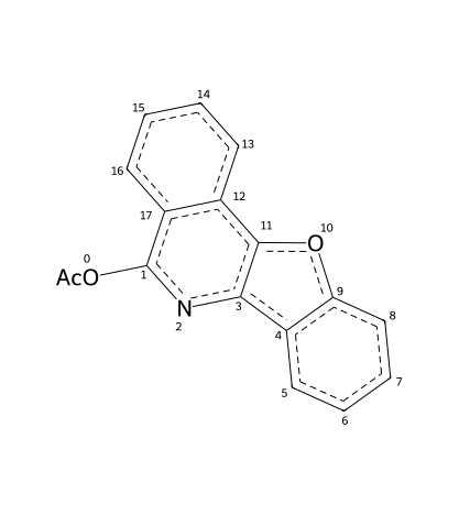 CC(=O)Oc1nc2c3ccccc3oc2c2ccccc12